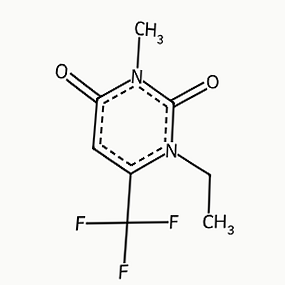 CCn1c(C(F)(F)F)cc(=O)n(C)c1=O